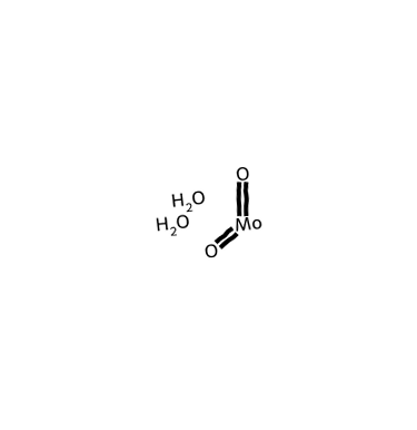 O.O.[O]=[Mo]=[O]